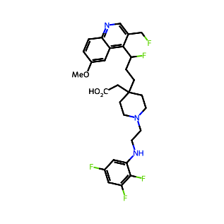 COc1ccc2ncc(CF)c(C(F)CCC3(CC(=O)O)CCN(CCNc4cc(F)cc(F)c4F)CC3)c2c1